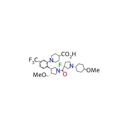 COC[C@H]1CN(C(=O)[C@@]2(F)CCN([C@H]3CC[C@H](OC)CC3)C2)C[C@@H]1c1ccc(C(F)(F)F)cc1N1CCC(C(=O)O)CC1